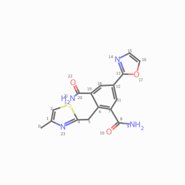 Cc1csc(Cc2c(C(N)=O)cc(-c3ncco3)cc2C(N)=O)n1